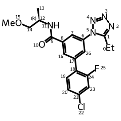 CCc1nnnn1-c1cc(C(=O)N[C@H](C)COC)cc(-c2ccc(Cl)cc2F)c1